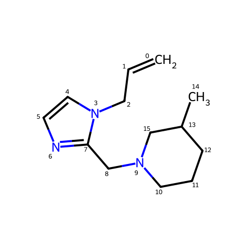 C=CCn1ccnc1CN1CCCC(C)C1